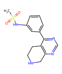 CS(=O)(=O)Nc1cccc(-c2ncnc3c2CCNC3)c1